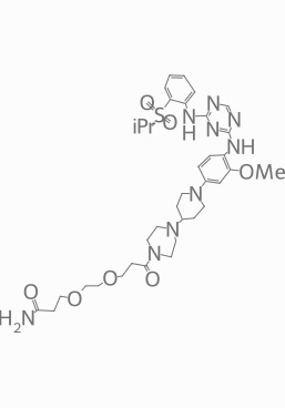 COc1cc(N2CCC(N3CCN(C(=O)CCOCCOCCC(N)=O)CC3)CC2)ccc1Nc1ncnc(Nc2ccccc2S(=O)(=O)C(C)C)n1